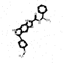 COc1ccc(-c2n[nH]c3cc4[nH]c(C(=O)N[C@H](C)c5ccccc5)nc4cc23)cc1